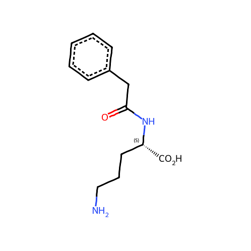 NCCC[C@H](NC(=O)Cc1ccccc1)C(=O)O